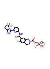 CC(C)(O)COC(=O)N1CCc2cc(F)c(C(=O)Nc3cccc(-c4nnc5n4C(C)(C)CC5)n3)cc2C1